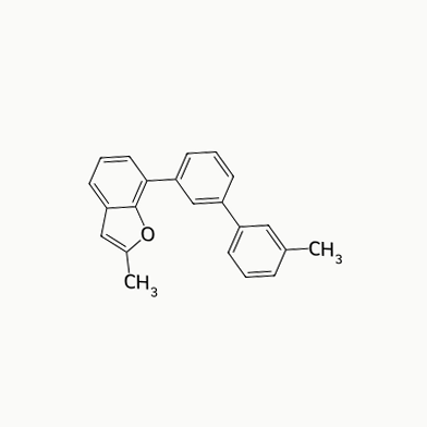 Cc1cccc(-c2cccc(-c3cccc4cc(C)oc34)c2)c1